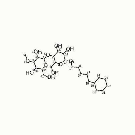 COC1C(O)[C@@H](O[C@@H]2C(CO)O[C@@H](OCCCCCC3CCCCC3)C(O)C2O)OC(CO)[C@H]1O